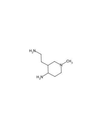 CN1CCC(N)C(CCN)C1